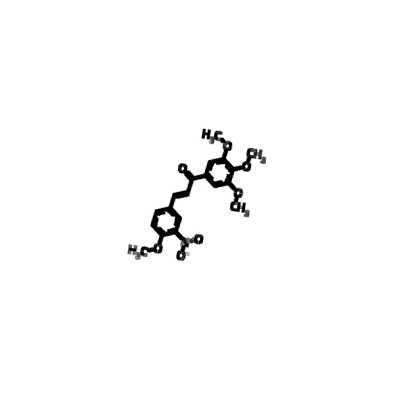 COc1ccc(C=CC(=O)c2cc(OC)c(OC)c(OC)c2)cc1[N+](=O)[O-]